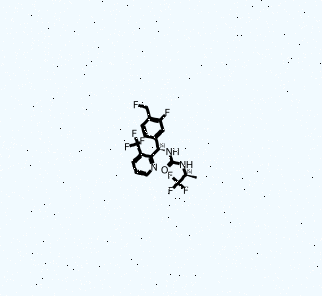 C[C@H](NC(=O)N[C@@H](c1ccc(CF)c(F)c1)c1ncccc1C(F)(F)F)C(F)(F)F